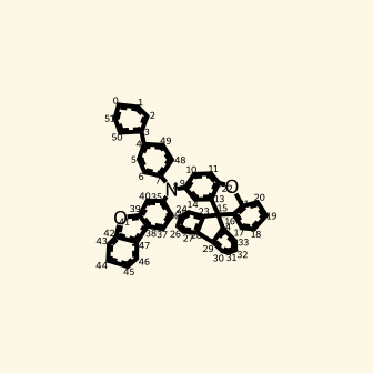 c1ccc(-c2ccc(N(c3ccc4c(c3)C3(c5ccccc5O4)c4ccccc4-c4ccccc43)c3ccc4c(c3)oc3ccccc34)cc2)cc1